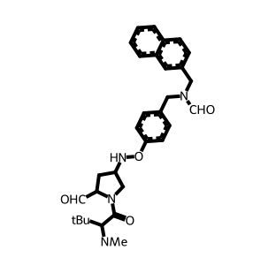 CNC(C(=O)N1CC(NOc2ccc(CN(C=O)Cc3ccc4ccccc4c3)cc2)CC1C=O)C(C)(C)C